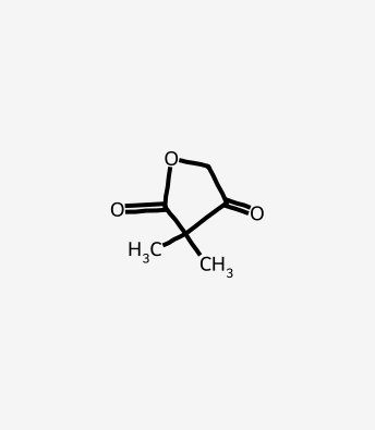 CC1(C)C(=O)COC1=O